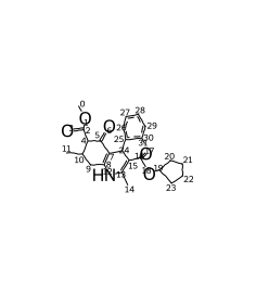 COC(=O)C1C(=O)C2=C(CC1C)NC(C)=C(C(=O)OC1CCCC1)C2c1ccccc1C